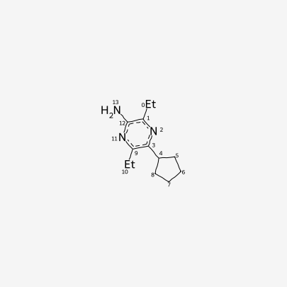 CCc1nc(C2CCCC2)c(CC)nc1N